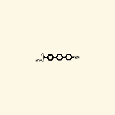 CCCCC1CCC(C2CCC(c3ccc(C(=O)OCCC)cc3)CC2)CC1